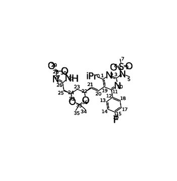 CC(C)c1nc(N(C)S(C)(=O)=O)nc(-c2ccc(F)cc2)c1/C=C/[C@@H]1C[C@H](Cc2nc(=O)o[nH]2)OC(C)(C)O1